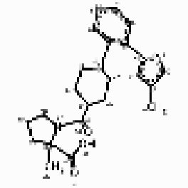 Cc1cnn(-c2ccncc2N2CCC(C(=O)N3CCCC3(C)C(=O)O)CC2)c1